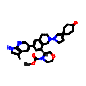 Cc1c[nH]c2ncc(-c3cc4c(c([C@@H]5COCCN5C(=O)OC(C)(C)C)c3)CN(N3CCC5(CCC(=O)CC5)C3)CC4)cc12